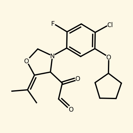 CC(C)=C1OCN(c2cc(OC3CCCC3)c(Cl)cc2F)C1C(=O)C=O